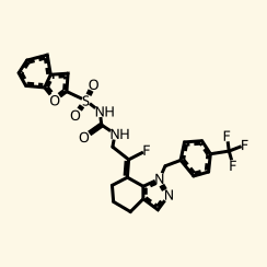 O=C(NCC(F)=C1CCCc2cnn(Cc3ccc(C(F)(F)F)cc3)c21)NS(=O)(=O)c1cc2ccccc2o1